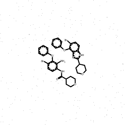 Brc1ccc2[nH]c(C3CCOCC3)nc2c1Oc1ccccc1.Nc1c(NC(=O)C2CCOCC2)ccc(Br)c1Oc1ccccc1